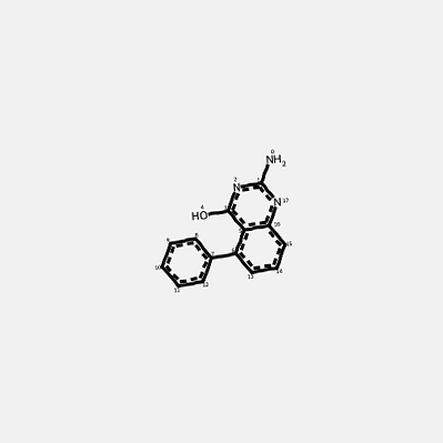 Nc1nc(O)c2c(-c3ccccc3)cccc2n1